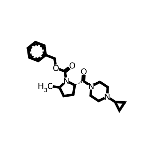 CC1CC[C@@H](C(=O)N2CCN(C3CC3)CC2)N1C(=O)OCc1ccccc1